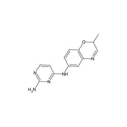 CC1C=Nc2cc(Nc3ccnc(N)n3)ccc2O1